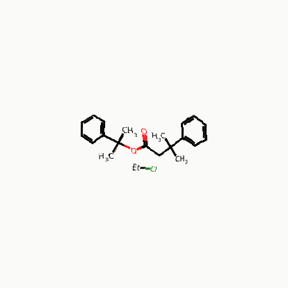 CC(C)(CC(=O)OC(C)(C)c1ccccc1)c1ccccc1.CCCl